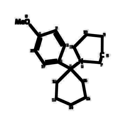 COc1ccc(C2(N3CCCCC3)CCCCC2)cc1